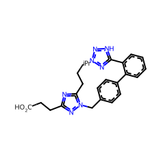 CC(C)CCc1nc(CCC(=O)O)nn1Cc1ccc(-c2ccccc2-c2nnn[nH]2)cc1